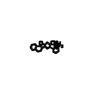 Cc1cc2oc3c4ccccc4ccc3c2cc1-c1cccc[n+]1C